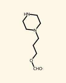 O=[C]OCCCN1CCNCC1